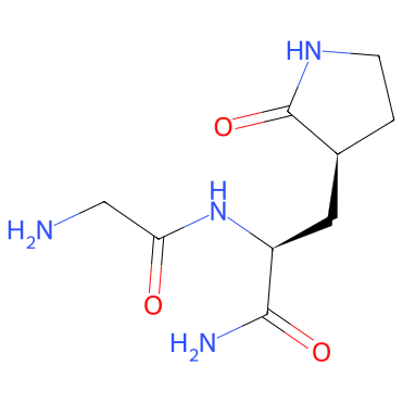 NCC(=O)N[C@@H](C[C@@H]1CCNC1=O)C(N)=O